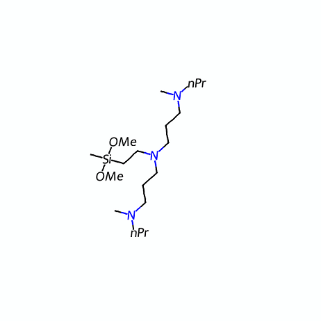 CCCN(C)CCCN(CCCN(C)CCC)CC[Si](C)(OC)OC